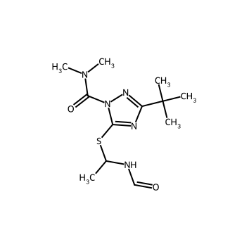 CC(NC=O)Sc1nc(C(C)(C)C)nn1C(=O)N(C)C